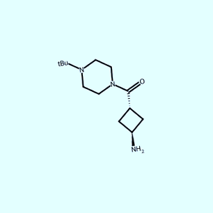 CC(C)(C)N1CCN(C(=O)[C@H]2C[C@H](N)C2)CC1